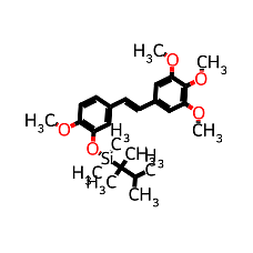 COc1ccc(C=Cc2cc(OC)c(OC)c(OC)c2)cc1O[Si](C)(C)C(C)(C)C(C)C